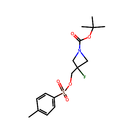 Cc1ccc(S(=O)(=O)OCC2(F)CN(C(=O)OC(C)(C)C)C2)cc1